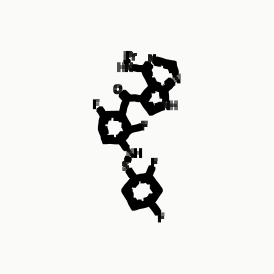 CC(C)Nc1ncnc2[nH]cc(C(=O)c3c(F)ccc(NSc4ccc(F)cc4F)c3F)c12